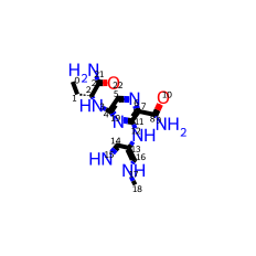 CC[C@@H](Nc1cnc(C(N)=O)c(N/C(C=N)=C/NC)n1)C(N)=O